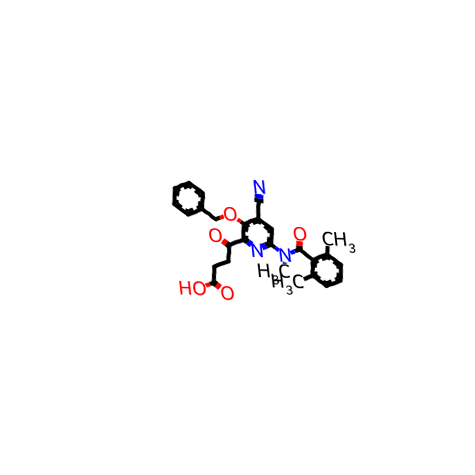 Cc1cccc(C)c1C(=O)N(C)c1cc(C#N)c(OCc2ccccc2)c(C(=O)CCC(=O)O)n1